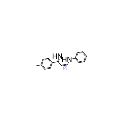 Cc1ccc(C(=N)/C=C\Nc2ccccc2)cc1